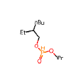 CCCCC(CC)CO[PH](=O)OC(C)C